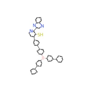 Sc1c(-c2ccc(-c3ccc(B(c4ccc(-c5ccccc5)cc4)c4ccc(-c5ccccc5)cc4)cc3)cc2)ccnc1-c1cnc2ccccc2n1